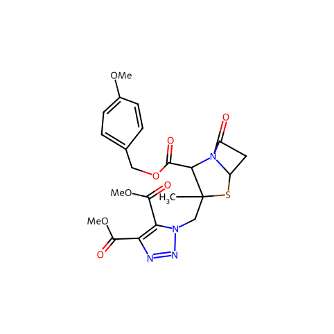 COC(=O)c1nnn(CC2(C)SC3CC(=O)N3C2C(=O)OCc2ccc(OC)cc2)c1C(=O)OC